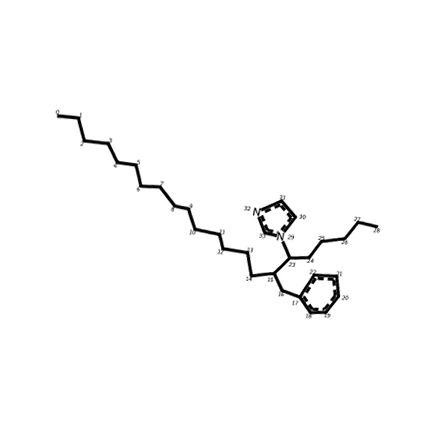 CCCCCCCCCCCCCCCC(Cc1ccccc1)C(CCCCC)n1ccnc1